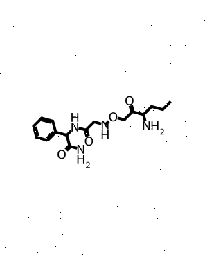 CCCC(N)C(=O)CONCC(=O)NC(C(N)=O)c1ccccc1